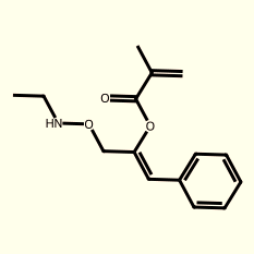 C=C(C)C(=O)OC(=Cc1ccccc1)CONCC